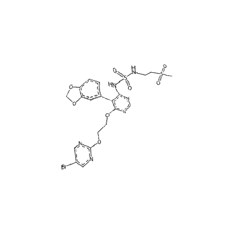 CS(=O)(=O)CCNS(=O)(=O)Nc1ncnc(OCCOc2ncc(Br)cn2)c1-c1ccc2c(c1)OCO2